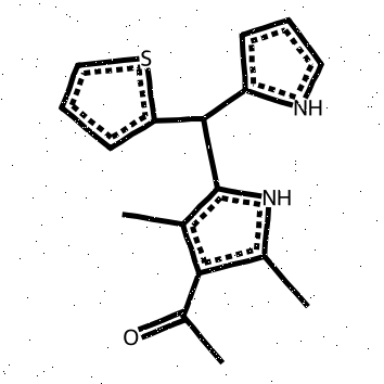 CC(=O)c1c(C)[nH]c(C(c2ccc[nH]2)c2cccs2)c1C